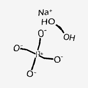 OO.[Na+].[O-][I+3]([O-])([O-])[O-]